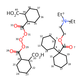 CCN(CC)CCOC(=O)C1(C2CCCCC2)CCCCC1.O=C(O)C1CCCCC1C(=O)OOOC(=O)C1CCCCC1C(=O)O